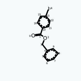 O=C(OCc1ccccc1)c1ccc(I)cc1